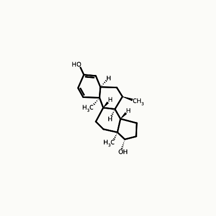 C[C@@H]1C[C@@H]2C=C(O)C=C[C@]2(C)[C@H]2CC[C@]3(C)[C@@H](O)CC[C@H]3[C@H]12